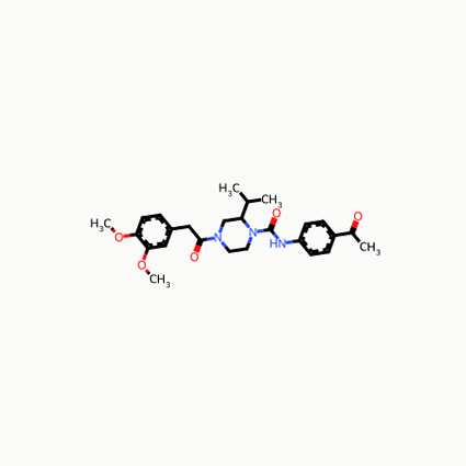 COc1ccc(CC(=O)N2CCN(C(=O)Nc3ccc(C(C)=O)cc3)C(C(C)C)C2)cc1OC